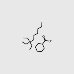 CCCCCC[N+](CC)(CC)CC.O=C([O-])C1CCCCC1